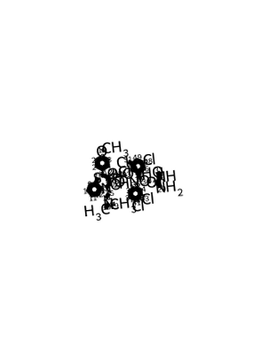 COc1ccc([C@@H]2Sc3ccccc3N(CCN(C)C)C(=O)[C@@H]2OC(C)=O)cc1.NC(=O)NO.O=C(Nc1ccc(Cl)c(Cl)c1)c1cc(Cl)cc(Cl)c1O